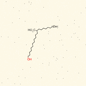 CCCCCCCCCCCCCCCCC(CCCCCCCCCCCCO)C(=O)O